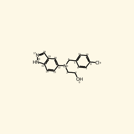 OCCN(Cc1ccc(Cl)cc1)c1ccc2[nH]ncc2c1